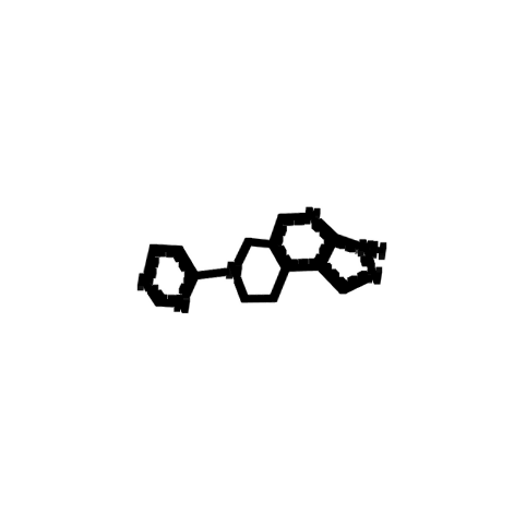 c1cc(N2CCc3c(cnc4[nH]ncc34)C2)ncn1